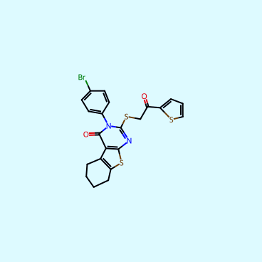 O=C(CSc1nc2sc3c(c2c(=O)n1-c1ccc(Br)cc1)CCCC3)c1cccs1